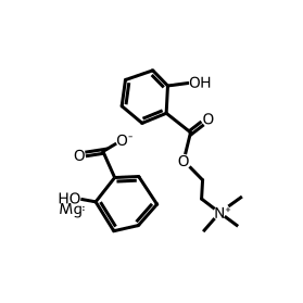 C[N+](C)(C)CCOC(=O)c1ccccc1O.O=C([O-])c1ccccc1O.[Mg]